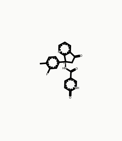 Cc1ccc([C@@]2(NC(=O)c3ccc(=O)[nH]c3)CC(=O)c3cccnc32)cc1F